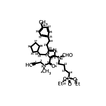 C#CCN(C)C(=O)c1c(N(C=O)CCCCP(=O)(OCC)OCC)nc(CCc2ccc(C)cc2)n1CC1CCCC1